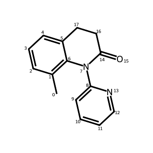 Cc1cccc2c1N(c1ccccn1)C(=O)CC2